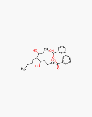 CCCCC(C(O)CC)C(O)CCC.O=C(O)c1ccccc1.O=C(O)c1ccccc1